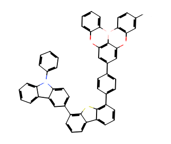 Cc1ccc2c(c1)Oc1cc(-c3ccc(-c4cccc5c4sc4c(-c6ccc7c(c6)c6ccccc6n7-c6ccccc6)cccc45)cc3)cc3c1B2c1ccccc1O3